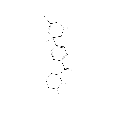 CC1(c2ccc(C(=O)N3CCCC(O)C3)cc2)CCSC(N)=N1